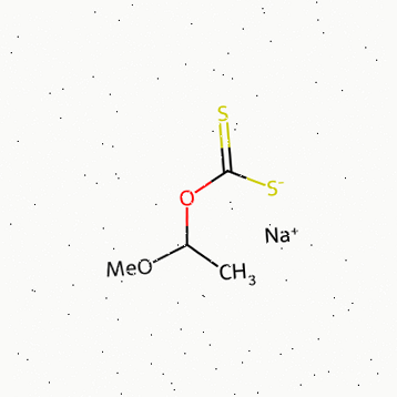 COC(C)OC(=S)[S-].[Na+]